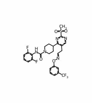 CS(=O)(=O)c1ncc(CC=NOc2cccc(C(F)(F)F)c2)c(C2CCN(C(=O)Nc3c(F)cccc3F)CC2)n1